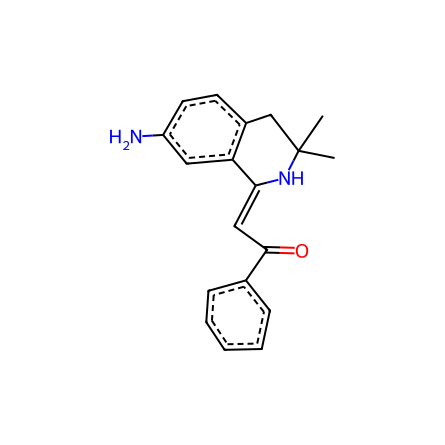 CC1(C)Cc2ccc(N)cc2/C(=C/C(=O)c2ccccc2)N1